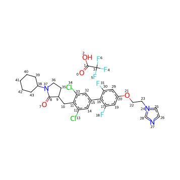 O=C(O)C(F)(F)F.O=C1C(Cc2c(Cl)cc(-c3c(F)cc(OCCn4ccnc4)cc3F)cc2Cl)CCN1C1CCCCC1